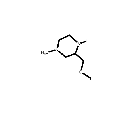 CN1CCN(I)C(COI)C1